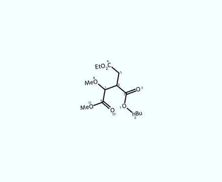 CCCCOC(=O)C(CC(=O)OCC)C(OC)C(=O)OC